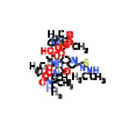 C=C[C@@H]1C[C@]1(NC(=O)[C@@H]1C[C@@H](Oc2cc(-c3csc(NC(C)C)n3)nc3cc(OCP(=O)(N[C@@H](C)C(=O)OCC)Oc4ccccc4)ccc23)CN1C(=O)C(NC(=O)OC1CCCC1)C(C)(C)C)C(=O)O